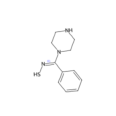 S/N=C(\c1ccccc1)N1CCNCC1